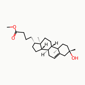 COC(=O)CCC[C@H]1CC[C@H]2[C@@H]3CC=C4C[C@@](C)(O)CC[C@]4(C)[C@H]3CC[C@]12C